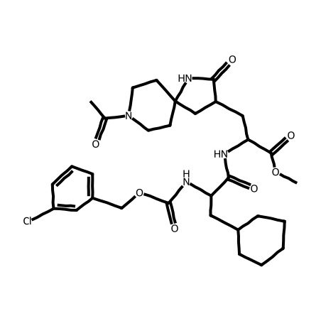 COC(=O)C(CC1CC2(CCN(C(C)=O)CC2)NC1=O)NC(=O)C(CC1CCCCC1)NC(=O)OCc1cccc(Cl)c1